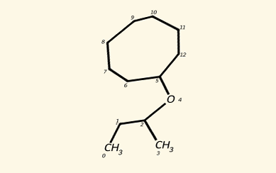 C[CH]C(C)OC1CCCCCCC1